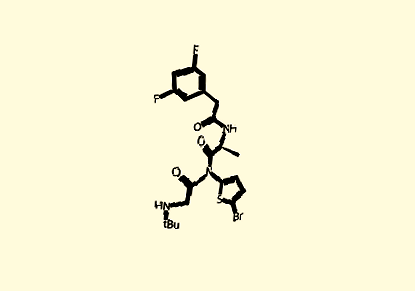 C[C@H](NC(=O)Cc1cc(F)cc(F)c1)C(=O)N(C(=O)CNC(C)(C)C)c1ccc(Br)s1